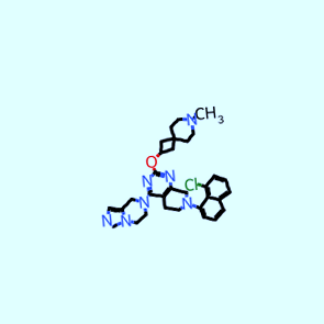 CN1CCC2(CC1)CC(Oc1nc3c(c(N4CCn5cncc5C4)n1)CCN(c1cccc4cccc(Cl)c14)C3)C2